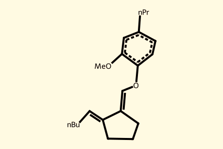 CCCCC=C1CCCC1=COc1ccc(CCC)cc1OC